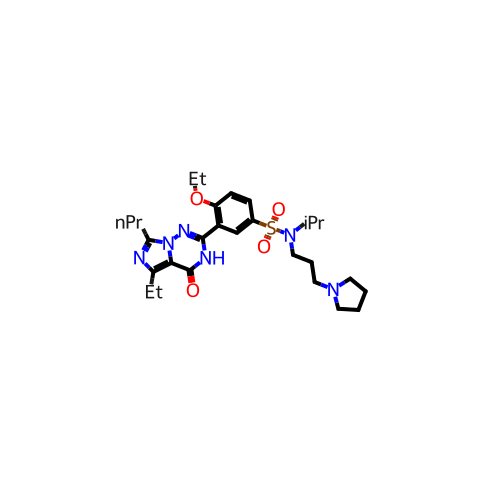 CCCc1nc(CC)c2c(=O)[nH]c(-c3cc(S(=O)(=O)N(CCCN4CCCC4)C(C)C)ccc3OCC)nn12